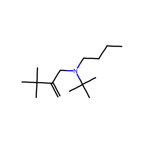 C=C(CN(CCCC)C(C)(C)C)C(C)(C)C